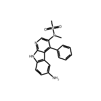 CN(c1cnc2[nH]c3ccc(N)cc3c2c1-c1ccccc1)S(C)(=O)=O